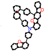 c1ccc(-c2ccc(-c3c4oc5c(N(c6ccc(-c7ccccc7)cc6)c6ccc(-c7cccc8c7oc7ccccc78)cc6)cccc5c4cc4oc5ccccc5c34)cc2)cc1